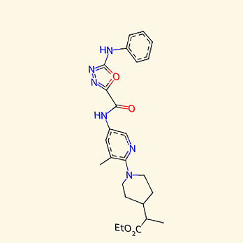 CCOC(=O)C(C)C1CCN(c2ncc(NC(=O)c3nnc(Nc4ccccc4)o3)cc2C)CC1